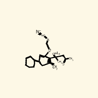 CC(=O)CC(C)(C)c1c(C)cc(C2CCCCC2)cc1OCN=[N+]=[N-]